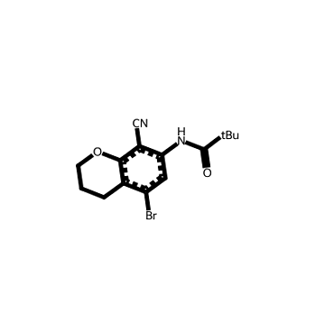 CC(C)(C)C(=O)Nc1cc(Br)c2c(c1C#N)OCCC2